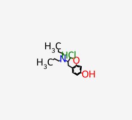 CCCN(CCC)C1COc2cc(O)ccc2C1.Cl